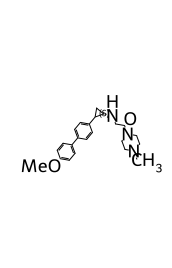 COc1ccc(-c2ccc(C3C[C@@H]3NCC(=O)N3CCN(C)CC3)cc2)cc1